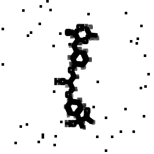 CC(=O)C(C)(O)c1ccc(OCC(O)COc2cccc(CC(OC(C)C)C(=O)O)c2)cc1